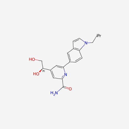 CC(C)Cn1ccc2cc(-c3cc([C@@H](O)CO)cc(C(N)=O)n3)ccc21